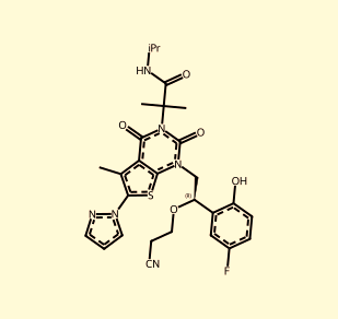 Cc1c(-n2cccn2)sc2c1c(=O)n(C(C)(C)C(=O)NC(C)C)c(=O)n2C[C@H](OCCC#N)c1cc(F)ccc1O